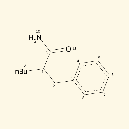 CCCCC(Cc1ccccc1)C(N)=O